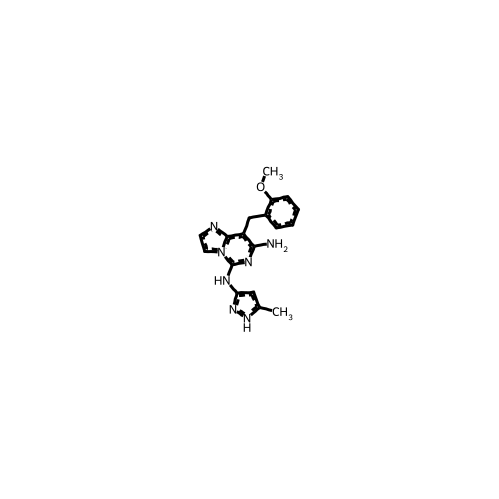 COc1ccccc1Cc1c(N)nc(Nc2cc(C)[nH]n2)n2ccnc12